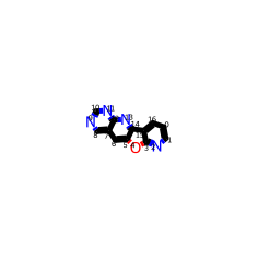 c1cnc2oc3cc4cncnc4nc3c2c1